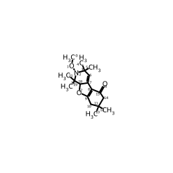 CON1C(C)(C)C=C2C3=C(CC(C)(C)CC3=O)OC2C1(C)C